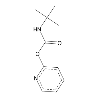 CC(C)(C)NC(=O)Oc1ccccn1